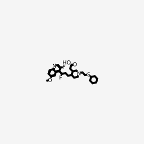 COc1ccc2ncc(F)c([C@H](F)CCC3CCN(CCSC4CCCCC4)CC3CC(=O)O)c2c1